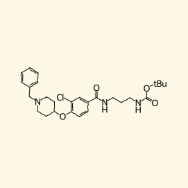 CC(C)(C)OC(=O)NCCCNC(=O)c1ccc(OC2CCN(Cc3ccccc3)CC2)c(Cl)c1